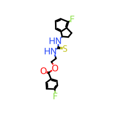 O=C(OCCNC(=S)NC1CCc2c(F)cccc21)c1ccc(F)cc1